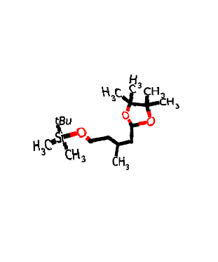 CC(CCO[Si](C)(C)C(C)(C)C)CC1OC(C)(C)C(C)(C)O1